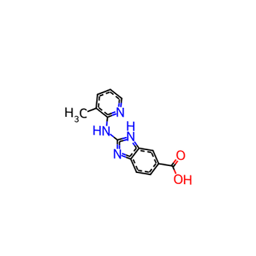 Cc1cccnc1Nc1nc2ccc(C(=O)O)cc2[nH]1